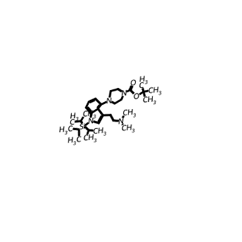 CC(C)[Si](C(C)C)(C(C)C)n1cc(CCN(C)C)c2c(N3CCN(C(=O)OC(C)(C)C)CC3)cccc21